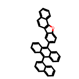 c1ccc2c(-c3c4ccccc4c(-c4ccc5oc6c7ccccc7ccc6c5c4)c4ccccc34)cccc2c1